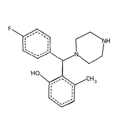 Cc1cccc(O)c1C(c1ccc(F)cc1)N1CCNCC1